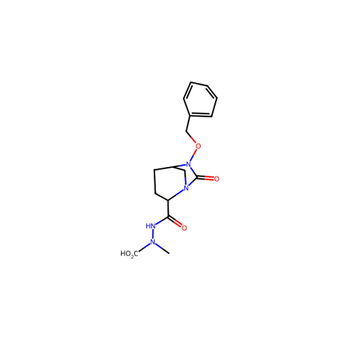 CN(NC(=O)C1CCC2CN1C(=O)N2OCc1ccccc1)C(=O)O